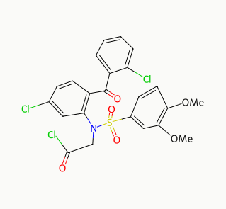 COc1ccc(S(=O)(=O)N(CC(=O)Cl)c2cc(Cl)ccc2C(=O)c2ccccc2Cl)cc1OC